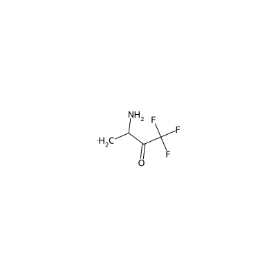 [CH2]C(N)C(=O)C(F)(F)F